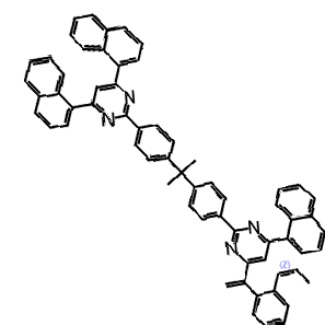 C=C(c1cc(-c2cccc3ccccc23)nc(-c2ccc(C(C)(C)c3ccc(-c4nc(-c5cccc6ccccc56)cc(-c5cccc6ccccc56)n4)cc3)cc2)n1)c1ccccc1/C=C\C